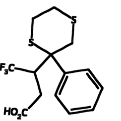 O=C(O)CC(C(F)(F)F)C1(c2ccccc2)CSCCS1